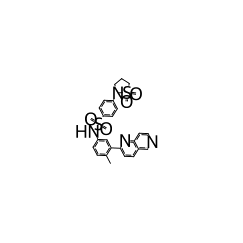 Cc1ccc(NS(=O)(=O)c2ccc(N3CCCS3(=O)=O)cc2)cc1-c1ccc2cnccc2n1